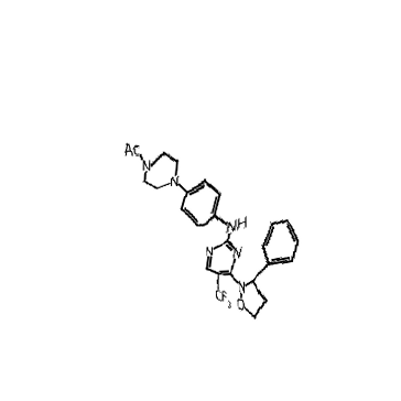 CC(=O)N1CCN(c2ccc(Nc3ncc(C(F)(F)F)c(N4OCCC4c4ccccc4)n3)cc2)CC1